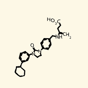 C=C(CCC(=O)O)NCc1ccc(N2CCN(c3cccc(C4CCCCC4)c3)C2=O)cc1